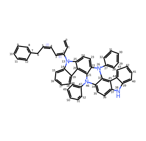 C=C/C(=C\C=C/Cc1ccccc1)n1c2ccccc2c2c3c(ccc21)N(c1ccccc1)c1c(ccc2[nH]c4ccccc4c12)N3c1ccccc1